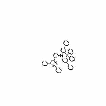 c1ccc(-c2ccc3c(c2)C(c2ccccc2)(c2ccccc2)c2cc(-c4ccccc4)ccc2N3c2cccc(-c3cc(-c4ccccc4)nc(-c4ccccc4)n3)c2)cc1